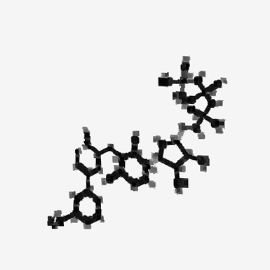 C=N/C(=C\C(=C/C)c1cccc(N)c1)Cn1c(=O)ccn([C@@H]2O[C@H](COP(=O)(O)OP(=O)(O)OP(=O)(O)O)C(O)C2O)c1=O